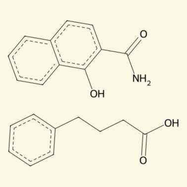 NC(=O)c1ccc2ccccc2c1O.O=C(O)CCCc1ccccc1